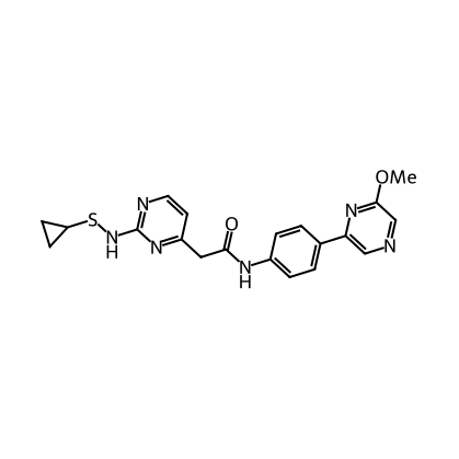 COc1cncc(-c2ccc(NC(=O)Cc3ccnc(NSC4CC4)n3)cc2)n1